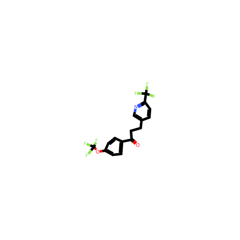 O=C(CCc1ccc(C(F)(F)F)nc1)c1ccc(OC(F)(F)F)cc1